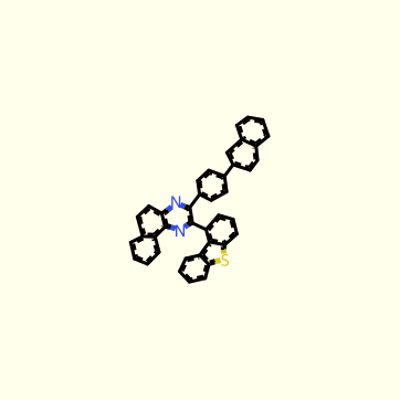 c1ccc2cc(-c3ccc(-c4nc5ccc6ccccc6c5nc4-c4cccc5sc6ccccc6c45)cc3)ccc2c1